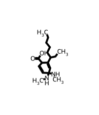 CCCCCC(CC)C1=CC(NC)(NC)C=CC1C(=O)O